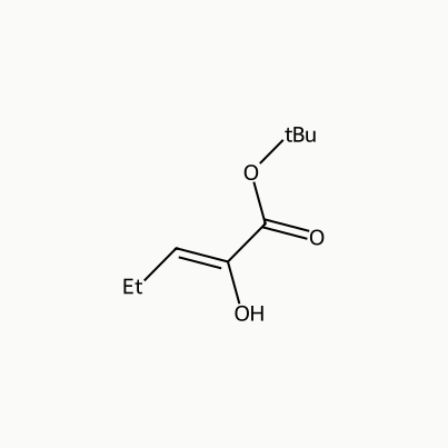 CCC=C(O)C(=O)OC(C)(C)C